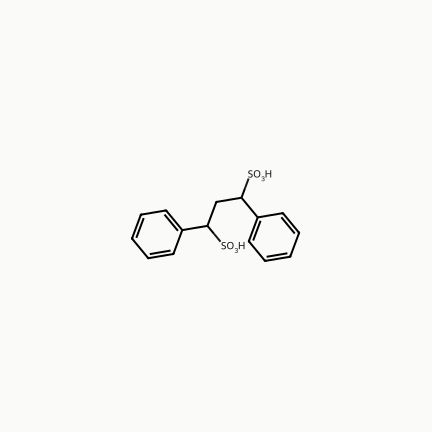 O=S(=O)(O)C(CC(c1ccccc1)S(=O)(=O)O)c1ccccc1